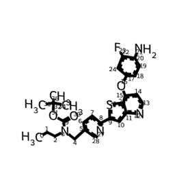 CCCN(Cc1ccc(-c2cc3nccc(Oc4ccc(N)c(F)c4)c3s2)nc1)C(=O)OC(C)(C)C